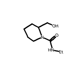 CCNC(=O)N1CCCCC1CO